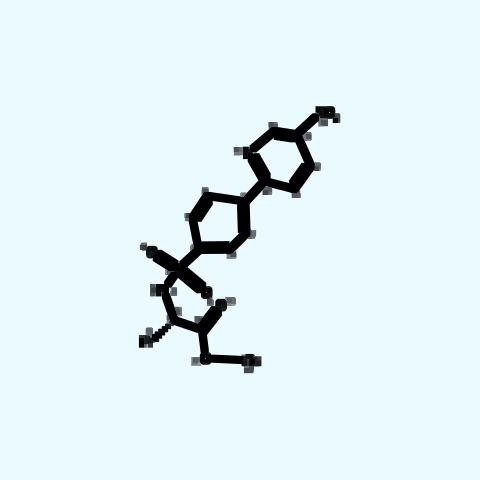 CC(C)[C@H](NS(=O)(=O)c1ccc(-c2ccc([N+](=O)[O-])cn2)cc1)C(=O)OC(C)(C)C